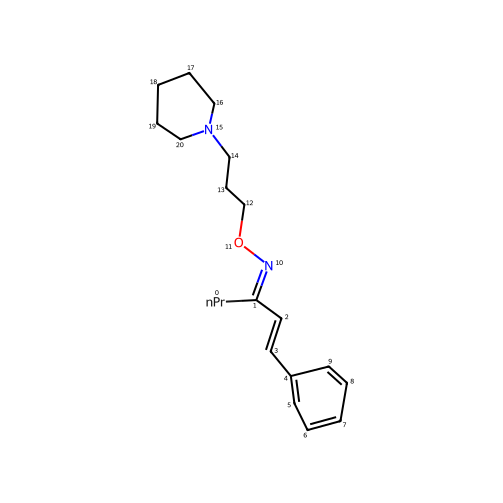 CCCC(/C=C/c1ccccc1)=N\OCCCN1CCCCC1